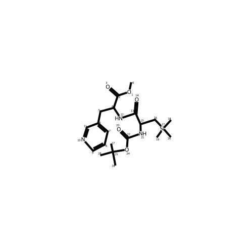 COC(=O)C(Cc1cccnc1)NC(=O)C(C[Si](C)(C)C)NC(=O)OC(C)(C)C